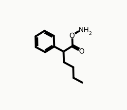 CCCCC(C(=O)ON)c1ccccc1